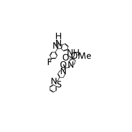 CO[C@@]1(C(=O)Nc2ccc3[nH]nc(-c4ccc(F)cc4)c3c2)CCN(CC(=O)N2CC=C(c3nc4ccccc4s3)CC2)C1